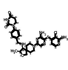 C[C@@H]1OCC2(CCN(c3cnc(Sc4ccnc(N)c4Cl)c(N)n3)CC2)[C@@H]1NCc1ccc(N2CCC(=O)NC2=O)cc1